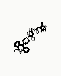 Cc1noc(C)c1CC(=O)Nc1cnc(N2CCN(C3c4ccccc4C(=O)N(C)c4ccccc43)CC2)c(Cl)c1